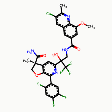 COc1cc(C(=O)NCC(O)(c2cc3c(c(-c4cc(F)c(F)cc4F)n2)OC[C@]3(C)C(N)=O)C(F)(F)F)cc2cc(Cl)c(C)nc12